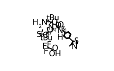 Cc1ncsc1-c1ccc([C@H](CO)NC(=O)[C@@H]2C[C@@H](O[Si](C)(C)C(C)(C)C)CN2C(=O)[C@@H](N)C(C)(C)C)cc1.O=C(O)C(F)(F)F